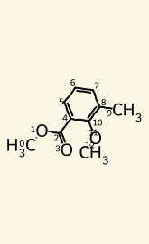 COC(=O)c1cccc(C)c1OC